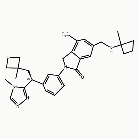 Cn1cnnc1[C@@H](CC1(C)COC1)c1cccc(N2Cc3c(cc(CNC4(C)CCC4)cc3C(F)(F)F)C2=O)c1